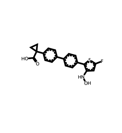 O=C(O)C1(c2ccc(-c3ccc(-c4sc(F)cc4NO)cc3)cc2)CC1